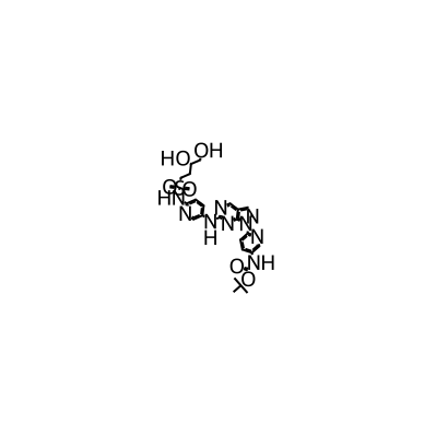 CC(C)(C)OC(=O)Nc1ccc(-n2ncc3cnc(Nc4ccc(NS(=O)(=O)CCC(O)CO)nc4)nc32)nc1